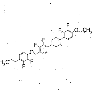 CCCc1ccc(OCc2ccc(C3CCC(c4ccc(OCC)c(F)c4F)CC3)c(F)c2F)c(F)c1F